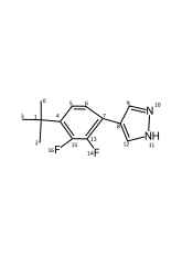 CC(C)(C)c1ccc(-c2cn[nH]c2)c(F)c1F